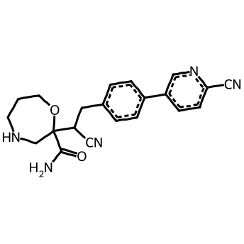 N#Cc1ccc(-c2ccc(CC(C#N)C3(C(N)=O)CNCCCO3)cc2)cn1